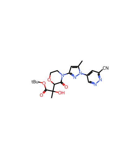 Cc1cc(N2CCOC(C(C)(O)C(=O)OC(C)(C)C)C2=O)nn1-c1cnnc(C#N)c1